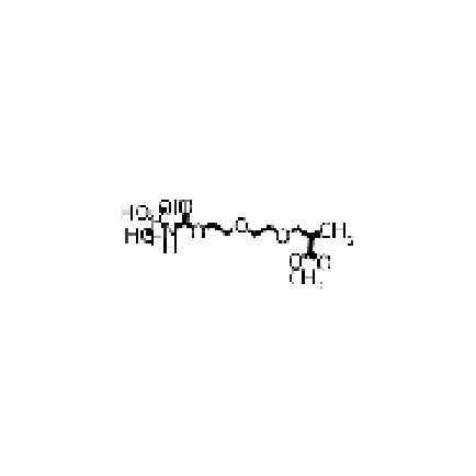 C=C(COCCOCCOC(=O)N[PH](O)(O)O)C(=O)OC